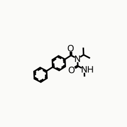 CNC(=O)N(C(=O)c1ccc(-c2ccccc2)cc1)C(C)C